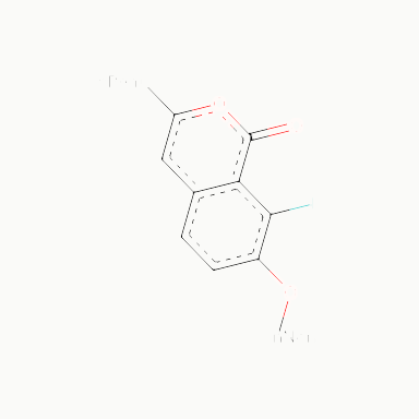 CCCCCCCCCOc1ccc2cc(CCCCC)oc(=O)c2c1F